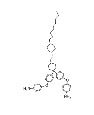 CCCCCCCCC[C@H]1CC[C@H](CCC2CCC(c3ccc(Oc4ccc(N)cc4)cc3)(c3ccc(Oc4ccc(N)cc4)cc3)CC2)CC1